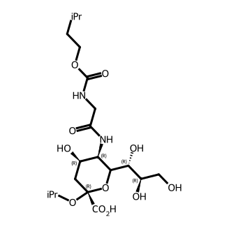 CC(C)CCOC(=O)NCC(=O)N[C@H]1C([C@H](O)[C@H](O)CO)O[C@@](OC(C)C)(C(=O)O)C[C@H]1O